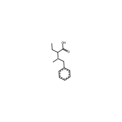 CCC(C(=O)O)N(C)Cc1ccccc1